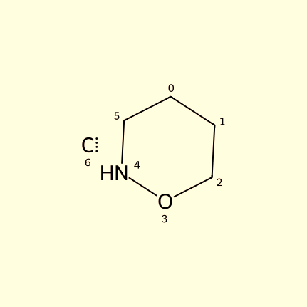 C1CCONC1.[C]